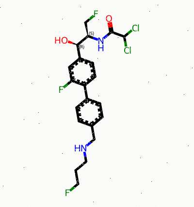 O=C(N[C@H](CF)[C@H](O)c1ccc(-c2ccc(CNCCCF)cc2)c(F)c1)C(Cl)Cl